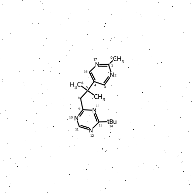 Cc1ncc(C(C)(C)Cc2ncnc(C(C)(C)C)n2)cn1